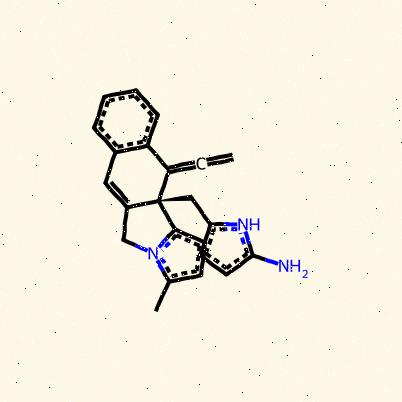 C=C=C1c2ccccc2C=C2Cn3c(C)ccc3[C@@]12Cc1ccc(N)[nH]1